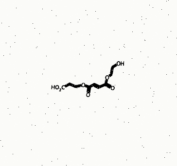 O=C(O)CCOC(=O)C=CC(=O)OCCO